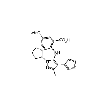 COc1ccc(Nc2c(-c3ccsc3)c(C)nn2C2CCCC2)c(C(=O)O)c1